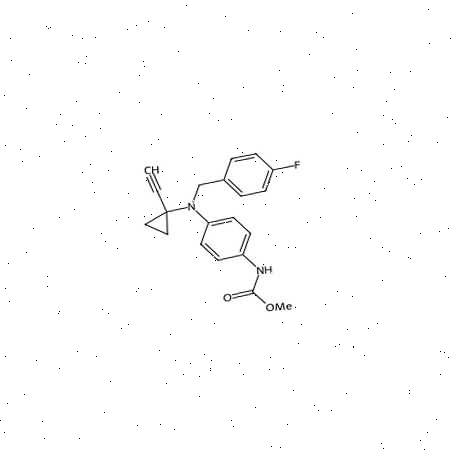 C#CC1(N(Cc2ccc(F)cc2)c2ccc(NC(=O)OC)cc2)CC1